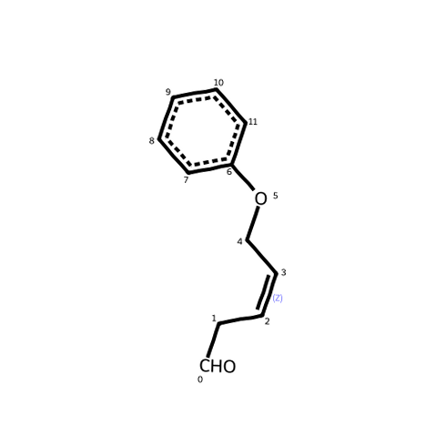 O=CC/C=C\COc1ccccc1